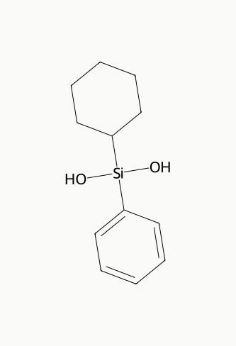 O[Si](O)(c1ccccc1)C1CCCCC1